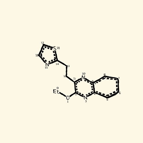 CCOc1nc2ccccc2nc1CCc1nccs1